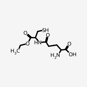 CCOC(=O)C(CS)NC(=O)CCC(N)C(=O)O